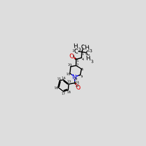 CC(C)(C)CC(=O)C1CCN(C(=O)c2ccccc2)CC1